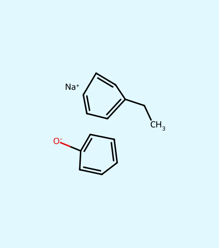 CCc1ccccc1.[Na+].[O-]c1ccccc1